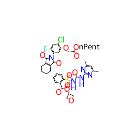 CCCCCOC(=O)COc1cc(N2C(=O)C3=C(CCCC3)C2=O)c(F)cc1Cl.Cc1cc(C)nc(NC(=O)NS(=O)(=O)c2ccccc2C(=O)OC2COC2)n1